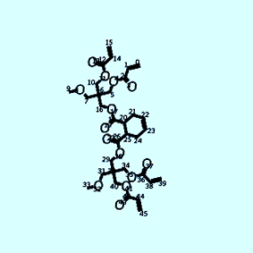 C=CC(=O)OCC(COC)(COC(=O)C=C)COC(=O)C1CC=CCC1C(=O)OCC(COC)(COC(=O)C=C)COC(=O)C=C